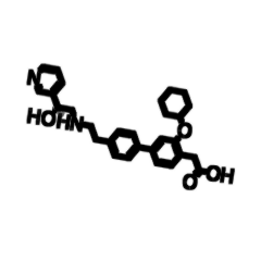 O=C(O)Cc1ccc(-c2ccc(CCNC[C@H](O)c3cccnc3)cc2)cc1OC1CCCCC1